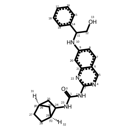 O=C(Nc1ncc2ccc(NC(CO)c3ccccc3)cc2n1)NC1C[C@@H]2CC[C@H]1C2